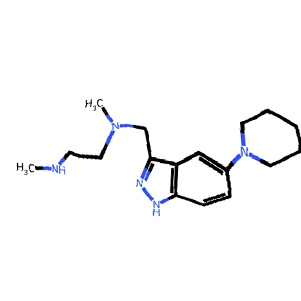 CNCCN(C)Cc1n[nH]c2ccc(N3CCCCC3)cc12